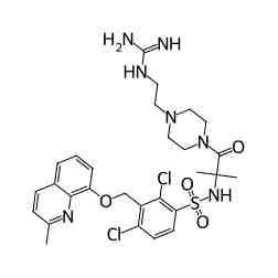 Cc1ccc2cccc(OCc3c(Cl)ccc(S(=O)(=O)NC(C)(C)C(=O)N4CCN(CCNC(=N)N)CC4)c3Cl)c2n1